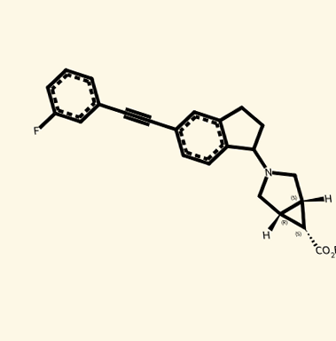 CCOC(=O)[C@@H]1[C@@H]2CN(C3CCc4cc(C#Cc5cccc(F)c5)ccc43)C[C@@H]21